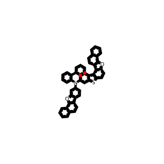 c1ccc(-c2ccccc2N(c2ccc3c(c2)oc2c4ccccc4ccc32)c2ccc3c(c2)sc2ccc4oc5c6ccccc6ccc5c4c23)cc1